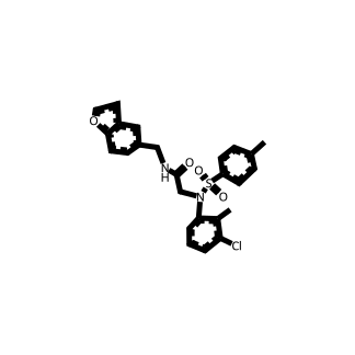 Cc1ccc(S(=O)(=O)N(CC(=O)NCc2ccc3occc3c2)c2cccc(Cl)c2C)cc1